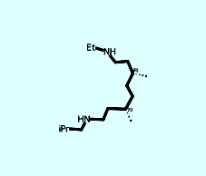 CCNCC[C@H](C)CC[C@H](C)CCNCC(C)C